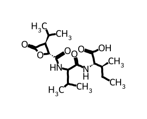 CC[C@H](C)[C@H](NC(=O)C(NC(=O)[C@@H]1OC(=O)[C@H]1C(C)C)C(C)C)C(=O)O